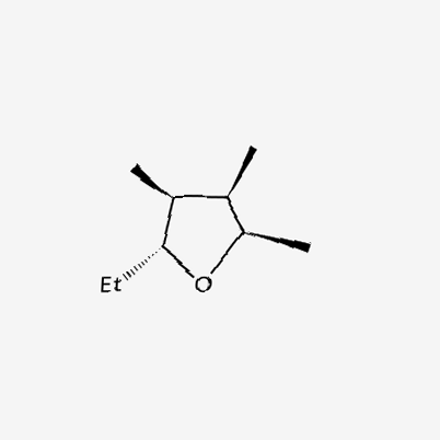 CC[C@H]1O[C@H](C)[C@H](C)[C@@H]1C